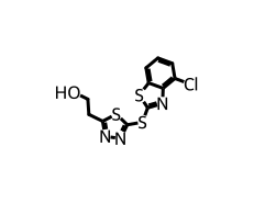 OCCc1nnc(Sc2nc3c(Cl)cccc3s2)s1